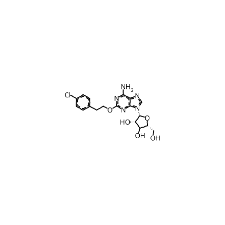 Nc1nc(OCCc2ccc(Cl)cc2)nc2c1ncn2[C@@H]1O[C@H](CO)C(O)[C@@H]1O